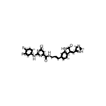 O=C1Nc2cc(C=CCNC(=O)c3cc(Cl)nc(Nc4ccc(F)c(F)c4)n3)ccc2C1=Cc1cnc[nH]1